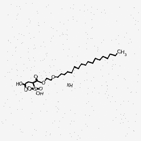 CCCCCCCCCCCCCCCCCCOCCOC(=O)C(CC(=O)O)S(=O)(=O)O.[KH]